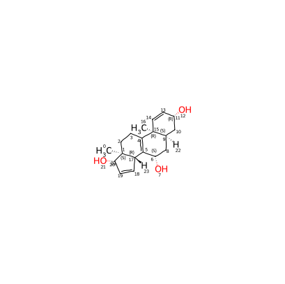 C[C@]12CCC3=C([C@@H](O)C[C@@H]4C[C@@H](O)C=C[C@]34C)[C@@H]1C=C[C@@H]2O